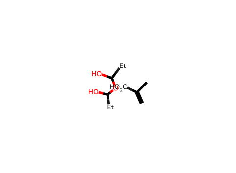 C=C(C)C(=O)O.CCC(O)OC(O)CC